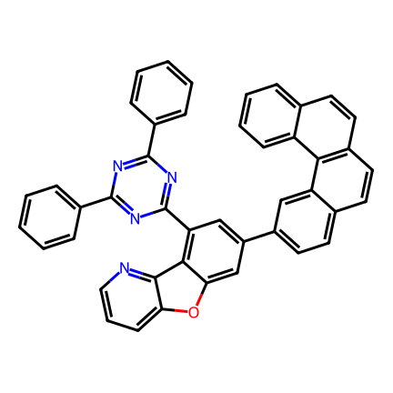 c1ccc(-c2nc(-c3ccccc3)nc(-c3cc(-c4ccc5ccc6ccc7ccccc7c6c5c4)cc4oc5cccnc5c34)n2)cc1